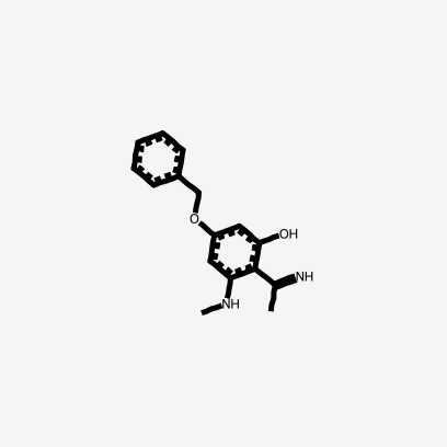 CNc1cc(OCc2ccccc2)cc(O)c1C(C)=N